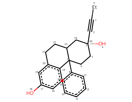 CCC#C[C@@]1(O)CCC2(c3ccccc3)c3ccc(O)cc3CCC2C1